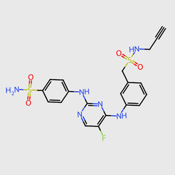 C#CCNS(=O)(=O)Cc1cccc(Nc2nc(Nc3ccc(S(N)(=O)=O)cc3)ncc2F)c1